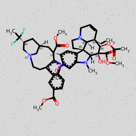 CC[C@]12C=CCN3CC[C@@]4(c5cc([C@@]6(C(=O)OC)C[C@@H]7C[C@@H](C(C)(F)F)C[N@](CCc8c6[nH]c6ccc(C(=O)OC)cc86)C7)c(OC)cc5N(C)[C@H]4[C@@](O)(C(=O)OC)[C@@H]1OC(C)=O)[C@@H]32